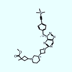 COC(=O)C1(C)CC(N2CCC[C@H](C3CN(c4ncc5nnn([C@H](C)c6ccc(C#C[Si](C)(C)C)cc6)c5n4)C3)C2)C1